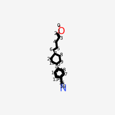 COC=CCCC[C@H]1CC[C@H](c2ccc(C#N)cc2)CC1